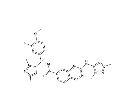 COc1ccc([C@H](NC(=O)c2ccc3cnc(Nc4cc(C)nn4C)nc3c2)c2c[nH]nc2C)cc1F